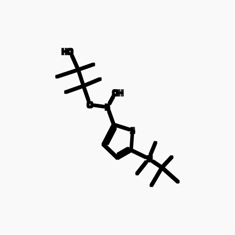 CC(C)(O)C(C)(C)OB(O)c1ccc([Si](C)(C)C(C)(C)C)s1